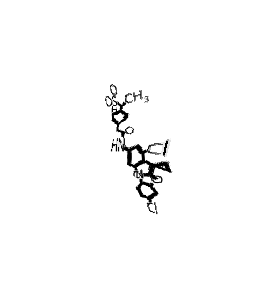 CC(c1ccc(CC(=O)Nc2cc(Cl)c(C3(c4nc5ccc(Cl)cc5o4)CC3)c(Cl)c2)cc1)[SH](=O)=O